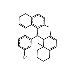 CC1=CC=C2CCCCC2(C)C1B(c1cccc(Br)c1)c1c(C)ccc2c1C=CCC2